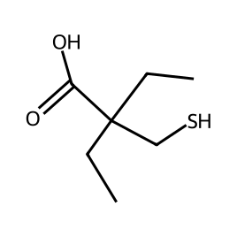 CCC(CC)(CS)C(=O)O